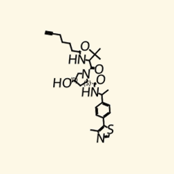 C#CCCCCC(=O)NC(C(=O)N1C[C@H](O)C[C@H]1C(=O)NC(C)c1ccc(-c2scnc2C)cc1)C(C)(C)C